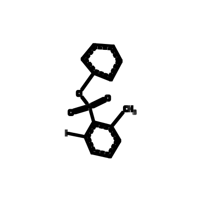 Cc1cccc(I)c1S(=O)(=O)Oc1ccccc1